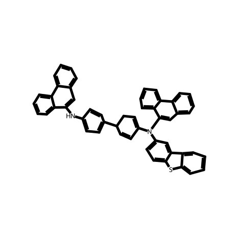 C1=CC(c2ccc(Nc3cc4ccccc4c4ccccc34)cc2)CC=C1N(c1ccc2sc3ccccc3c2c1)c1cc2ccccc2c2ccccc12